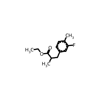 CCOC(=O)C(C)Cc1ccc(C)c(F)c1